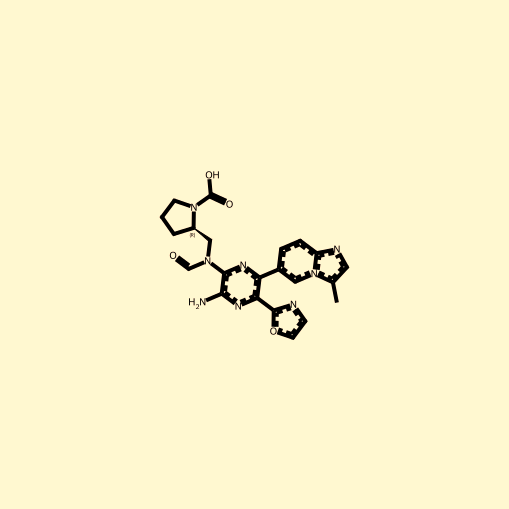 Cc1cnc2ccc(-c3nc(N(C=O)C[C@H]4CCCN4C(=O)O)c(N)nc3-c3ncco3)cn12